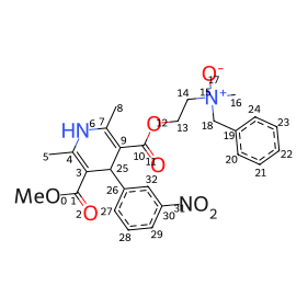 COC(=O)C1=C(C)NC(C)=C(C(=O)OCC[N+](C)([O-])Cc2ccccc2)C1c1cccc([N+](=O)[O-])c1